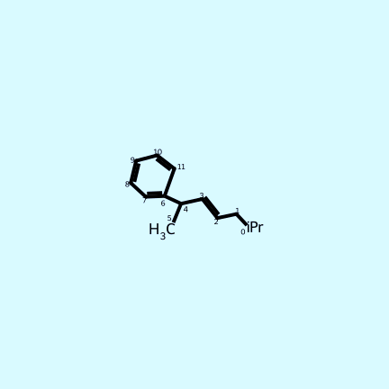 CC(C)CC=CC(C)c1ccccc1